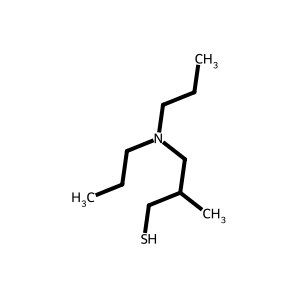 CCCN(CCC)CC(C)CS